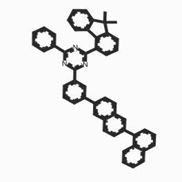 CC1(C)c2ccccc2-c2c(-c3nc(-c4ccccc4)nc(-c4cccc(-c5ccc6cc(-c7cccc8ccccc78)ccc6c5)c4)n3)cccc21